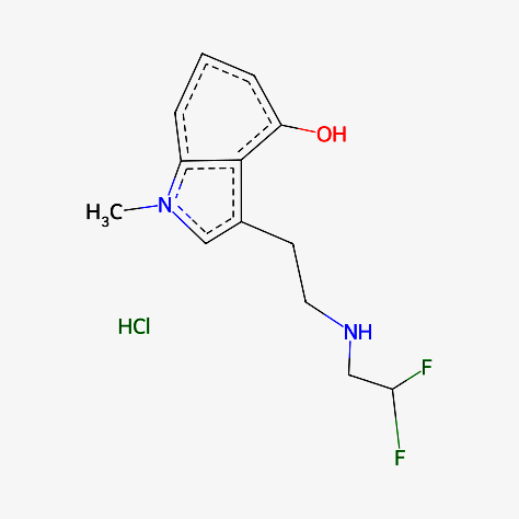 Cl.Cn1cc(CCNCC(F)F)c2c(O)cccc21